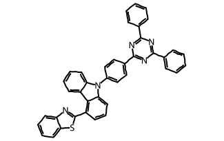 c1ccc(-c2nc(-c3ccccc3)nc(-c3ccc(-n4c5ccccc5c5c(-c6nc7ccccc7s6)cccc54)cc3)n2)cc1